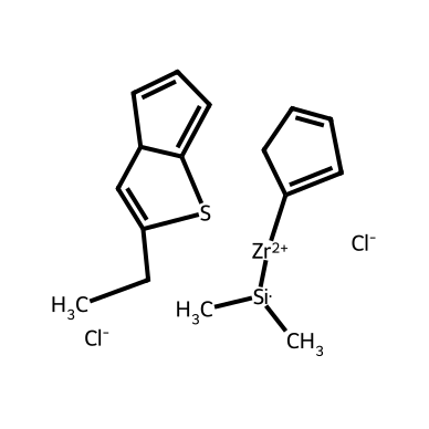 CCC1=CC2C=CC=C2S1.C[Si](C)[Zr+2][C]1=CC=CC1.[Cl-].[Cl-]